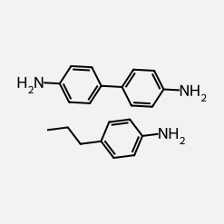 CCCc1ccc(N)cc1.Nc1ccc(-c2ccc(N)cc2)cc1